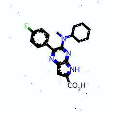 CN(c1nc2[nH]c(C(=O)O)cc2nc1-c1ccc(F)cc1)C1CCCCC1